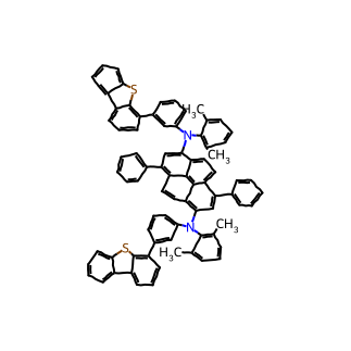 Cc1cccc(C)c1N(c1cccc(-c2cccc3c2sc2ccccc23)c1)c1cc(-c2ccccc2)c2ccc3c(N(c4cccc(-c5cccc6c5sc5ccccc56)c4)c4c(C)cccc4C)cc(-c4ccccc4)c4ccc1c2c43